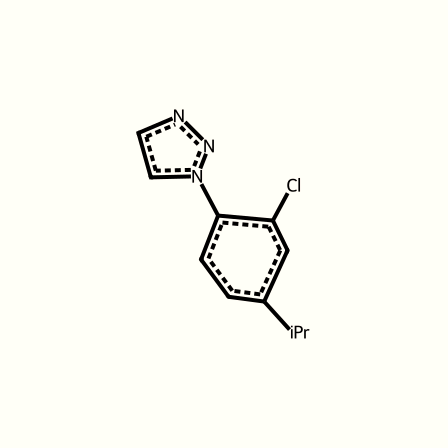 CC(C)c1ccc(-n2ccnn2)c(Cl)c1